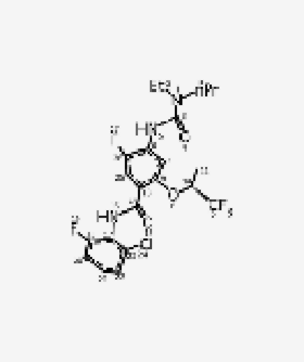 CCCN(CC)C(=O)Nc1cc(O[C@@H](C)C(F)(F)F)c(C(=O)Nc2c(F)cccc2Cl)cc1F